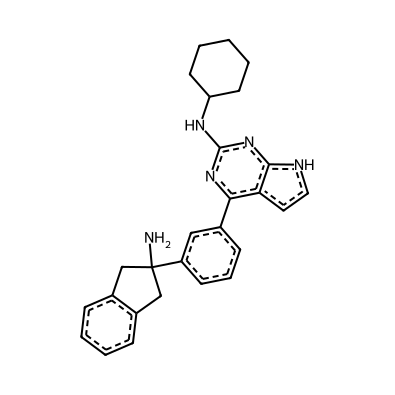 NC1(c2cccc(-c3nc(NC4CCCCC4)nc4[nH]ccc34)c2)Cc2ccccc2C1